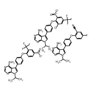 CC(C)n1cc(-c2ccc(Oc3c(Cl)cc(C(F)(F)F)cc3[N+](=O)[O-])cc2)c2c(N)ncnc21.CC(C)n1cc(-c2ccc(Oc3ccc(F)cc3C#N)cc2)c2c(N)ncnc21.CC(C)n1cc(-c2ccc(Oc3ccc([N+](=O)[O-])cc3C(F)(F)F)cc2)c2c([AsH2])ncnc21